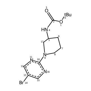 CC(C)(C)OC(=O)NC1CCCN(c2ncc(Br)cn2)C1